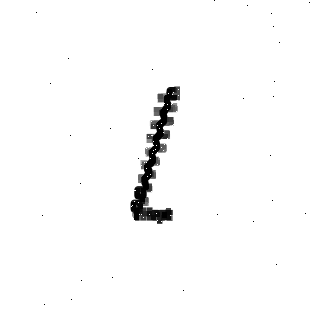 CCCCCCCOCOCCC=CCCCCCCCCCCCl